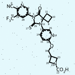 N#Cc1ncc(N2C(=O)C3(CCC3)N(c3ccc(OCC4CN(C(=O)O)C4)nc3)C2=S)cc1C(F)(F)F